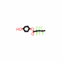 CC(F)(F)C(F)(F)C(F)(F)C(=O)Oc1ccc(O)cc1